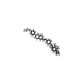 CCCc1ccc(C2CCC3CC(/C=C/C4CCC(COc5ccc(OCC)c(F)c5F)CC4)CCC3C2)cc1